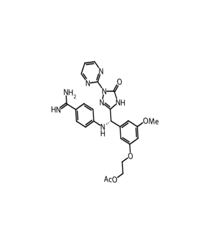 COc1cc(OCCOC(C)=O)cc([C@H](Nc2ccc(C(=N)N)cc2)c2nn(-c3ncccn3)c(=O)[nH]2)c1